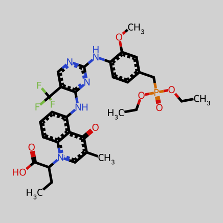 CCOP(=O)(Cc1ccc(Nc2ncc(C(F)(F)F)c(Nc3cccc4c3c(=O)c(C)cn4C(CC)C(=O)O)n2)c(OC)c1)OCC